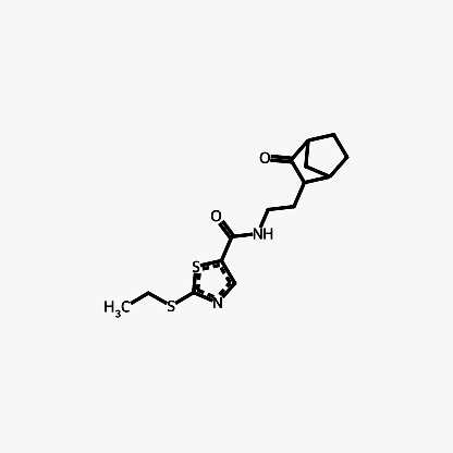 CCSc1ncc(C(=O)NCCC2C(=O)C3CCC2C3)s1